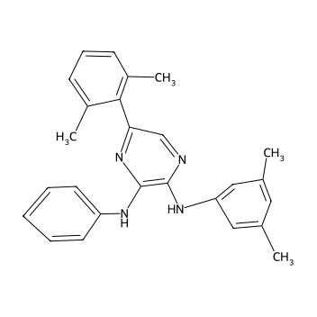 Cc1cc(C)cc(Nc2ncc(-c3c(C)cccc3C)nc2Nc2ccccc2)c1